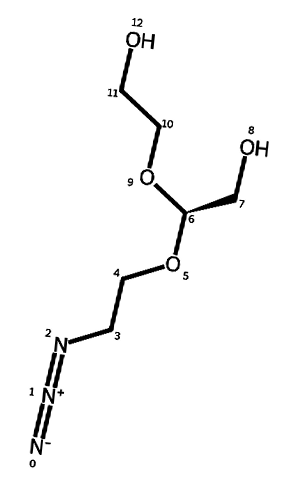 [N-]=[N+]=NCCO[C@H](CO)OCCO